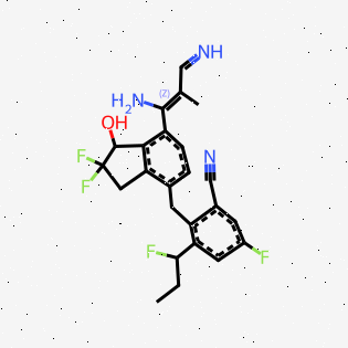 CCC(F)c1cc(F)cc(C#N)c1Cc1ccc(/C(N)=C(\C)C=N)c2c1CC(F)(F)C2O